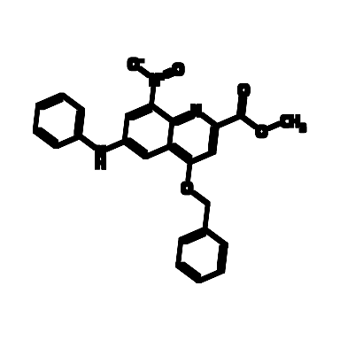 COC(=O)c1cc(OCc2ccccc2)c2cc(Nc3ccccc3)cc([N+](=O)[O-])c2n1